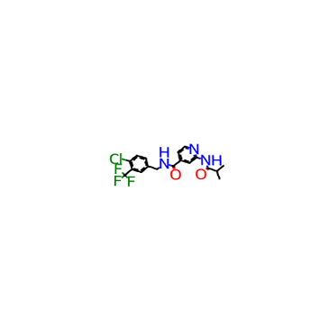 CC(C)C(=O)Nc1cc(C(=O)NCc2ccc(Cl)c(C(F)(F)F)c2)ccn1